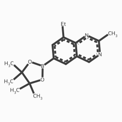 CCc1cc(B2OC(C)(C)C(C)(C)O2)cc2cnc(C)nc12